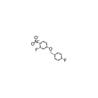 O=[N+]([O-])c1ccc(OCc2ccc(F)cc2)cc1F